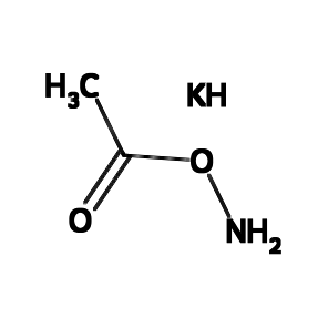 CC(=O)ON.[KH]